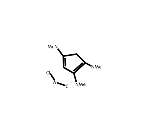 CNC1=CC(NC)=C(NC)[CH]1.[Cl][Zr][Cl]